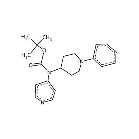 CC(C)(C)OC(=O)N(c1ccncc1)C1CCN(c2ccncc2)CC1